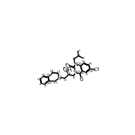 CC(C)Cn1c(=O)n(C[C@H](O)CN2CCc3ccccc3C2)c(=O)c2cc(Cl)ccc21